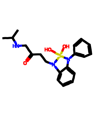 CC(C)NCC(=O)CCN1c2ccccc2N(c2ccccc2)S1(O)O